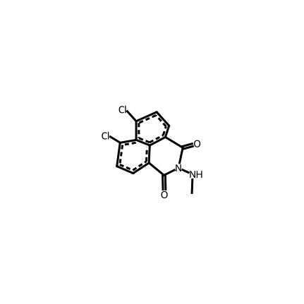 CNN1C(=O)c2ccc(Cl)c3c(Cl)ccc(c23)C1=O